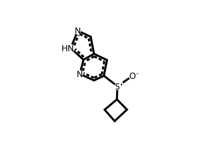 [O-][S+](c1cnc2[nH]ncc2c1)C1CCC1